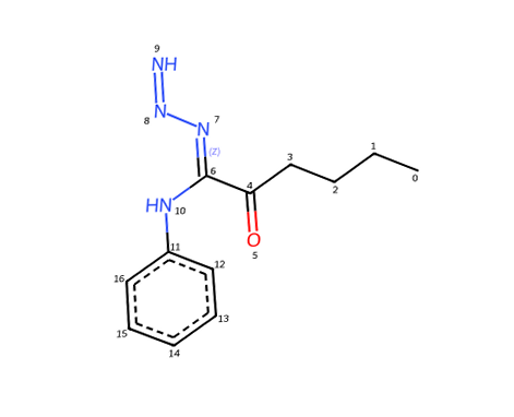 CCCCC(=O)/C(=N/N=N)Nc1ccccc1